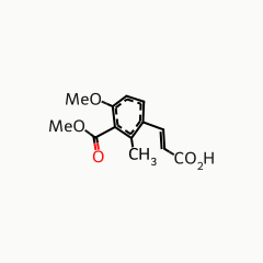 COC(=O)c1c(OC)ccc(/C=C/C(=O)O)c1C